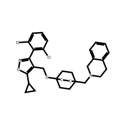 Clc1cccc(Cl)c1-c1noc(C2CC2)c1COC12CCC(CN3CCc4ccccc4C3)(CC1)CC2